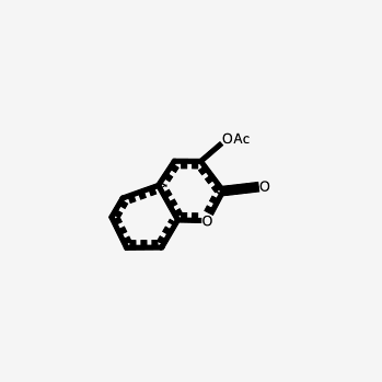 CC(=O)Oc1cc2ccccc2oc1=O